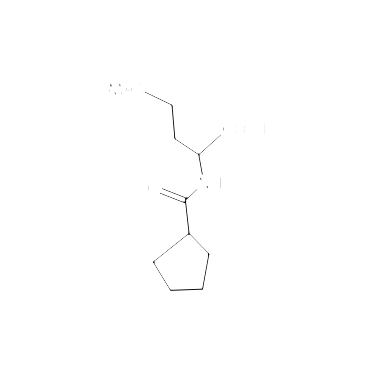 CSCCC(NC(=O)C1CCCC1)C(=O)O